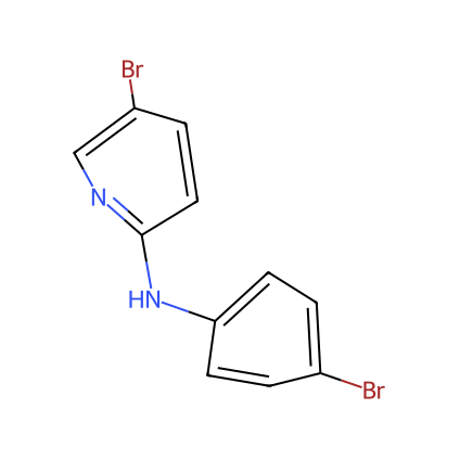 Brc1ccc(Nc2ccc(Br)cn2)cc1